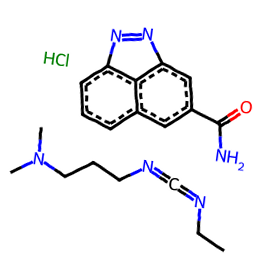 CCN=C=NCCCN(C)C.Cl.NC(=O)c1cc2c3c(cccc3c1)N=N2